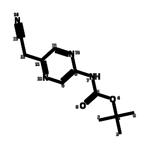 CC(C)(C)OC(=O)Nc1cnc(CC#N)cn1